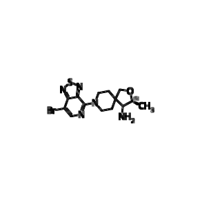 C[C@@H]1OCC2(CCN(c3ncc(Br)c4nsnc34)CC2)C1N